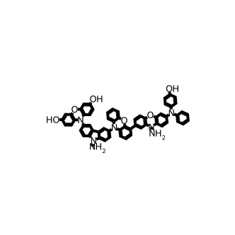 NN1c2ccc(N(c3ccccc3)c3ccc(O)cc3)cc2Oc2ccc(-c3cccc4c3Oc3ccccc3N4c3ccc4c(c3)c3cc(N5c6ccc(O)cc6Oc6cc(O)ccc65)ccc3n4N)cc21